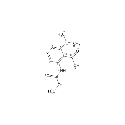 COC(=O)Nc1cccc(C(C)C)c1C(=O)O